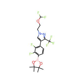 CC1(C)OB(c2ccc(-c3cn(CCOC(F)F)nc3C(F)(F)F)c(F)c2F)OC1(C)C